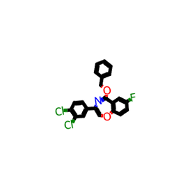 Fc1ccc2c(c1)C(OCc1ccccc1)=NC(c1ccc(Cl)c(Cl)c1)=CO2